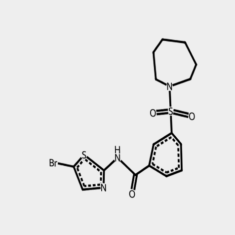 O=C(Nc1ncc(Br)s1)c1cccc(S(=O)(=O)N2CCCCCC2)c1